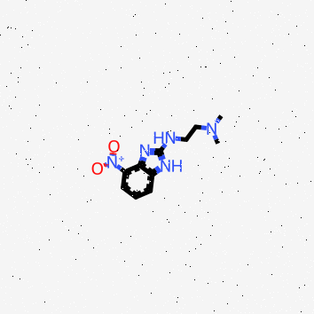 CN(C)CCNc1nc2c([N+](=O)[O-])cccc2[nH]1